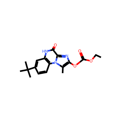 CCOC(=O)Oc1nc2c(=O)[nH]c3cc(C(C)(C)C)ccc3n2c1C